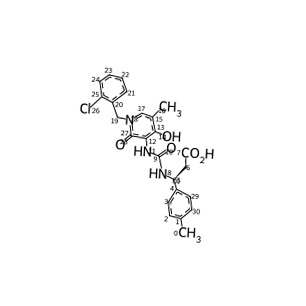 Cc1ccc([C@H](CC(=O)O)NC(=O)Nc2c(O)c(C)cn(Cc3ccccc3Cl)c2=O)cc1